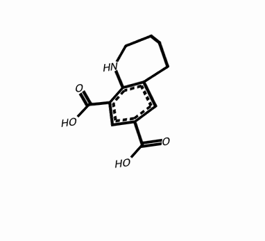 O=C(O)c1cc2c(c(C(=O)O)c1)NCCCC2